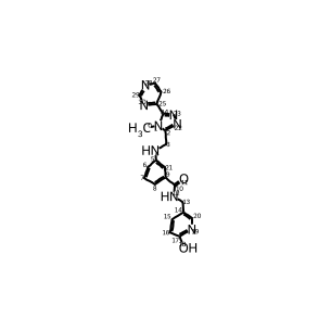 Cn1c(CNc2cccc(C(=O)NCc3ccc(O)nc3)c2)nnc1-c1ccncn1